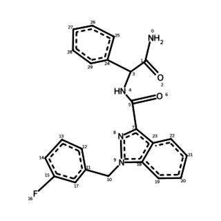 NC(=O)C(NC(=O)c1nn(Cc2cccc(F)c2)c2ccccc12)c1ccccc1